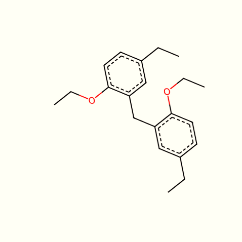 CCOc1ccc(CC)cc1Cc1cc(CC)ccc1OCC